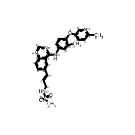 Cc1ccc(Oc2ccc(Nc3ncnc4ccc(C=CCNS(C)(=O)=O)cc34)cc2C)cn1